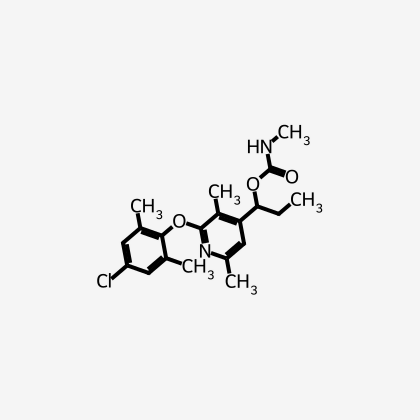 CCC(OC(=O)NC)c1cc(C)nc(Oc2c(C)cc(Cl)cc2C)c1C